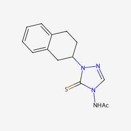 CC(=O)Nn1cnn(C2CCc3ccccc3C2)c1=S